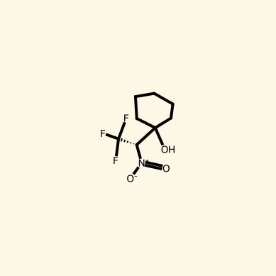 O=[N+]([O-])[C@H](C(F)(F)F)C1(O)CCCCC1